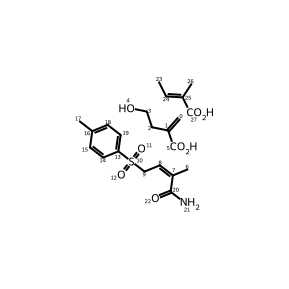 C=C(CCO)C(=O)O.CC(=CCS(=O)(=O)c1ccc(C)cc1)C(N)=O.CC=C(C)C(=O)O